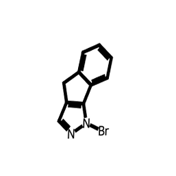 Brn1ncc2c1-c1ccccc1C2